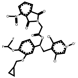 O=C(CN1C(=O)c2cccc([N+](=O)[O-])c2C1=O)O[C@@H](Cc1c(Cl)c[n+]([O-])cc1Cl)c1ccc(OC(F)F)c(OCC2CC2)c1